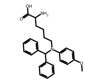 COc1ccc(N(CCCCC(N)C(=O)O)C(c2ccccc2)c2ccccc2)cc1